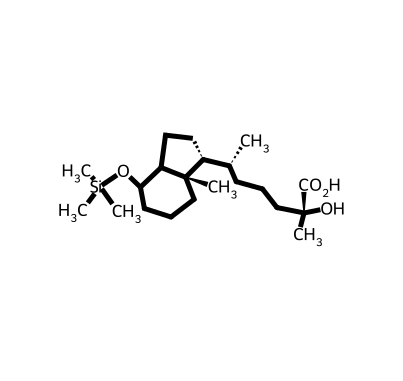 C[C@H](CCC[C@@](C)(O)C(=O)O)[C@H]1CCC2C(O[Si](C)(C)C)CCC[C@]21C